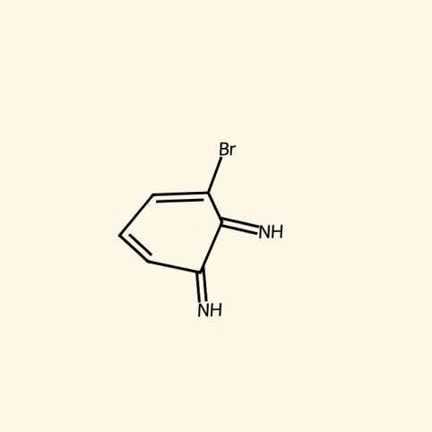 N=C1C=CC=C(Br)C1=N